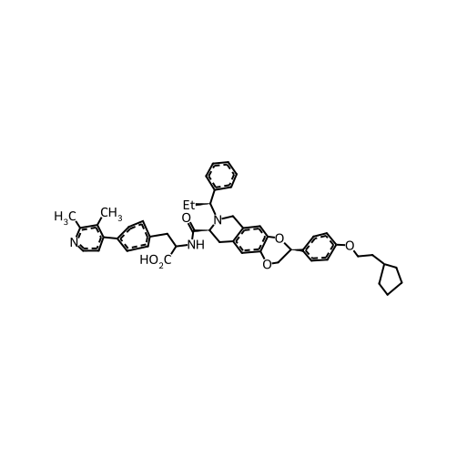 CC[C@@H](c1ccccc1)N1Cc2cc3c(cc2C[C@H]1C(=O)NC(Cc1ccc(-c2ccnc(C)c2C)cc1)C(=O)O)OC[C@H](c1ccc(OCCC2CCCC2)cc1)O3